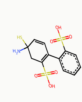 NC1(S)C=CC(c2ccccc2S(=O)(=O)O)=C(S(=O)(=O)O)C1